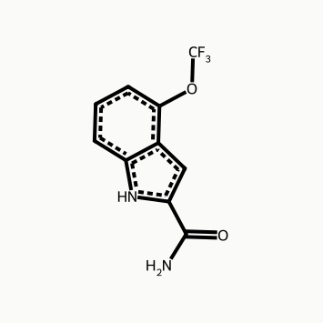 NC(=O)c1cc2c(OC(F)(F)F)cccc2[nH]1